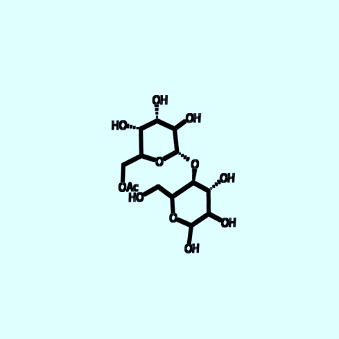 CC(=O)OCC1O[C@@H](O[C@@H]2C(CO)OC(O)C(O)[C@H]2O)C(O)[C@@H](O)[C@H]1O